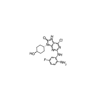 Nc1ccc(F)cc1Nc1nc(Cl)c2[nH]c(=O)n([C@H]3CC[C@H](O)CC3)c2n1